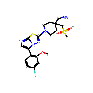 COc1cc(F)ccc1-c1cnc2sc(N3CCC(CN)(CS(C)(=O)=O)CC3)nn12